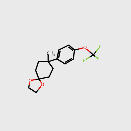 CC1(c2ccc(OC(F)(F)F)cc2)CCC2(CC1)OCCO2